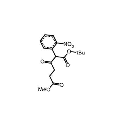 COC(=O)CCC(=O)C(C(=O)OC(C)(C)C)c1ccccc1[N+](=O)[O-]